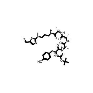 C[C@H](NC(=O)[C@H](C)NC(=O)[C@H](C)NC(=O)[C@H](Cc1ccc(O)cc1)NC(=O)OC(C)(C)C)C(=O)NCCCNc1ncc(C=O)s1